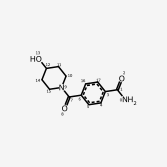 NC(=O)c1ccc(C(=O)N2CCC(O)CC2)cc1